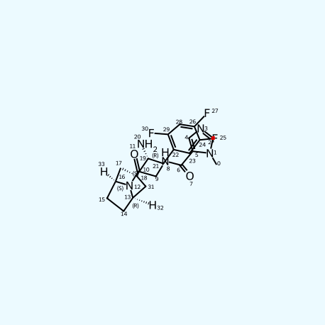 Cn1cncc1C(=O)NCC(=O)N1[C@@H]2CC[C@H]1C[C@H]([C@H](N)Cc1cc(F)c(F)cc1F)C2